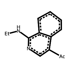 CCNc1ncc(C(C)=O)c2ccccc12